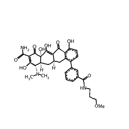 COCCCNC(=O)c1cccc(-c2ccc(O)c3c2C[C@H]2C[C@H]4[C@H](N(C)C)C(O)=C(C(N)=O)C(=O)[C@@]4(O)C(O)=C2C3=O)c1